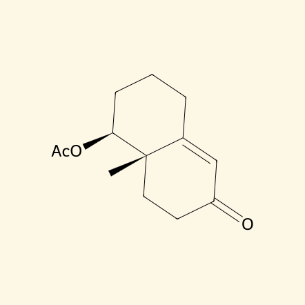 CC(=O)O[C@H]1CCCC2=CC(=O)CC[C@@]21C